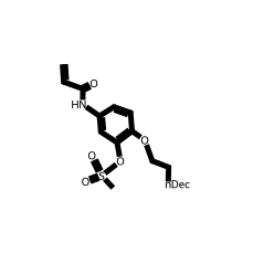 C=CC(=O)Nc1ccc(OCCCCCCCCCCCC)c(OS(C)(=O)=O)c1